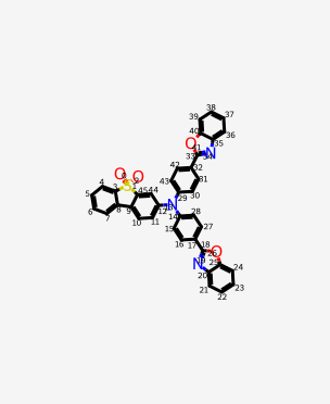 O=S1(=O)c2ccccc2-c2ccc(N(c3ccc(-c4nc5ccccc5o4)cc3)c3ccc(-c4nc5ccccc5o4)cc3)cc21